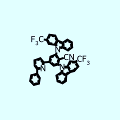 N#Cc1c(-n2c3ccccc3c3ccc(C(F)(F)F)cc32)cc(-c2cccc(-c3ccccc3)n2)cc1-n1c2ccccc2c2ccc(C(F)(F)F)cc21